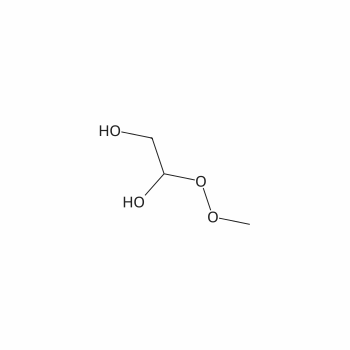 COOC(O)CO